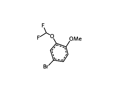 COc1ccc(Br)cc1OC(F)F